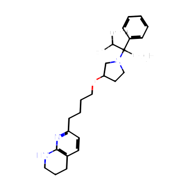 CCCCCCCCC(CC)C(C(=O)O)(c1ccccc1)N1CCC(OCCCCc2ccc3c(n2)NCCC3)C1